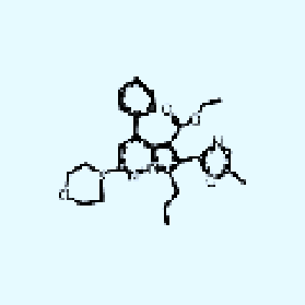 CCCc1c(-c2ncc(C)o2)c(C(=O)OCC)c2c(-c3ccccc3)cc(N3CCOCC3)nn12